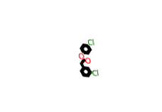 O=C(Cc1cccc(Cl)c1)Oc1ccc(Cl)cc1